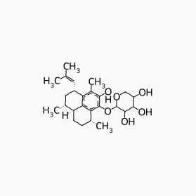 CC(C)=C[C@H]1C[C@@H](C)[C@@H]2CC[C@@H](C)c3c(OC4OCC(O)C(O)C4O)c(O)c(C)c1c32